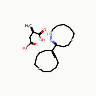 C1=C(C2=NNCCCCCCCC2)CCCCCCCCC1.C=C(CC(=O)O)C(=O)O